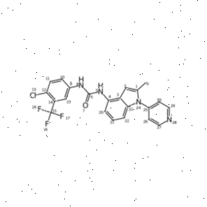 Cc1cc2c(NC(=O)Nc3ccc(Cl)c(C(F)(F)F)c3)cccc2n1-c1ccncc1